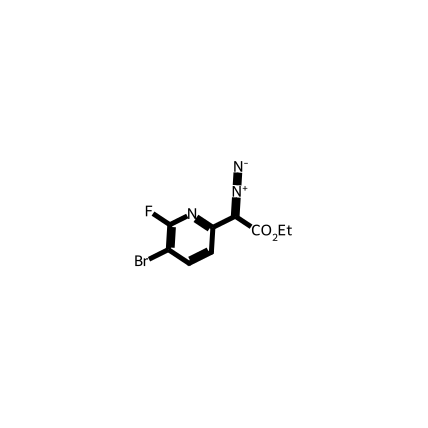 CCOC(=O)C(=[N+]=[N-])c1ccc(Br)c(F)n1